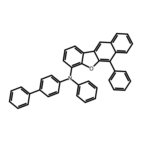 c1ccc(-c2ccc(N(c3ccccc3)c3cccc4c3oc3c(-c5ccccc5)c5ccccc5cc34)cc2)cc1